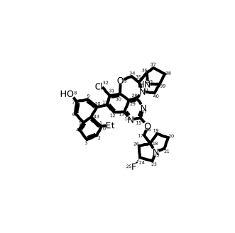 CCc1cccc2cc(O)cc(-c3cc4nc(OCC56CCCN5C[C@H](F)C6)nc5c4c(c3Cl)OCC3C4CCC(CN53)N4)c12